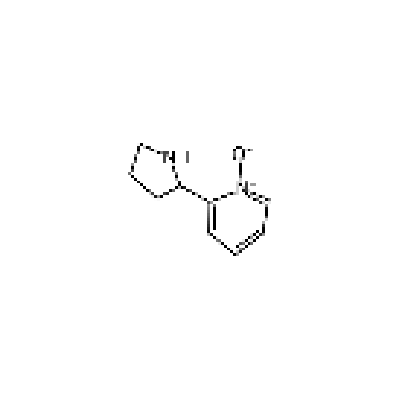 [O-][n+]1ccccc1C1CCCN1